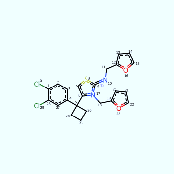 Clc1ccc(C2(c3cs/c(=N\Cc4ccco4)n3Cc3ccco3)CCC2)cc1Cl